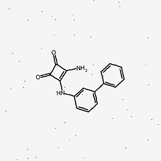 Nc1c(Nc2cccc(-c3ccccc3)c2)c(=O)c1=O